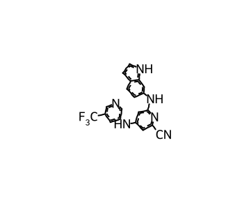 N#Cc1cc(Nc2cncc(C(F)(F)F)c2)cc(Nc2ccc3cc[nH]c3c2)n1